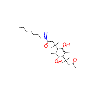 CCCCCCCNC(=O)CC(C)(C)C1C(O)=C(C)C(C(C)(C)CC(C)=O)=C(O)C1C